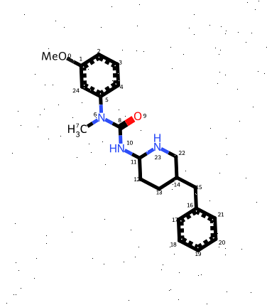 COc1cccc(N(C)C(=O)NC2CCC(Cc3ccccc3)CN2)c1